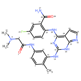 Cc1ccc(NC(=O)CN(C)C)cc1Nc1nc(Nc2ccc(F)cc2C(N)=O)c2ccnc-2[nH]1